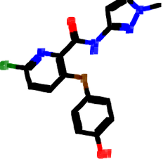 Cn1ccc(NC(=O)c2nc(Cl)ccc2Sc2ccc(O)cc2)n1